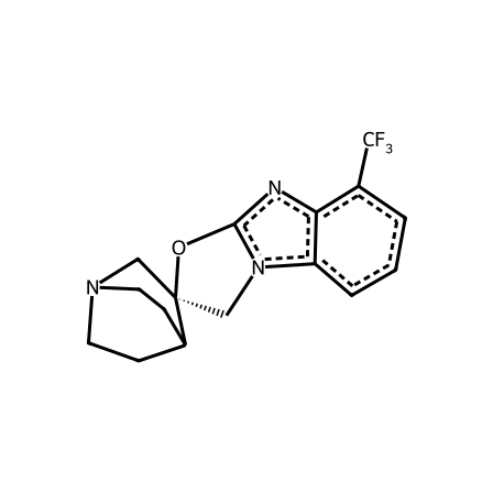 FC(F)(F)c1cccc2c1nc1n2C[C@]2(CN3CCC2CC3)O1